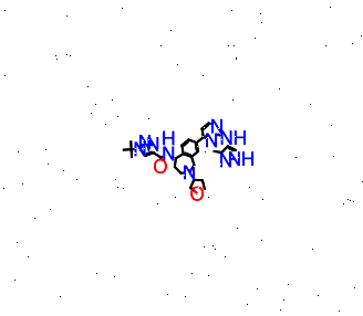 Cc1n[nH]cc1Nc1nccc(-c2ccc3c(c2)CN([C@@H]2CCOC2)CC[C@@H]3NC(=O)c2cn(C(C)(C)C)nn2)n1